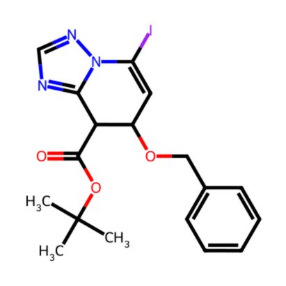 CC(C)(C)OC(=O)C1c2ncnn2C(I)=CC1OCc1ccccc1